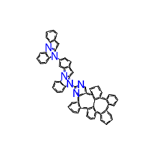 c1ccc2c(c1)cc1n(-c3ccc4cc5n(-c6ncc7c8cccc9c8-c8c(cccc8c8ccccc8c7n6)c6ccccc6c6ccccc96)c6ccccc6n5c4c3)c3ccccc3n21